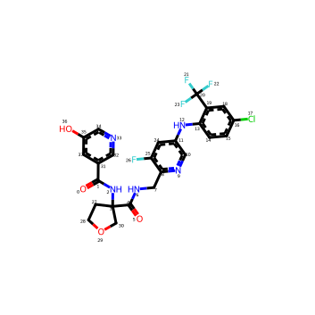 O=C(NC1(C(=O)NCc2ncc(Nc3ccc(Cl)cc3C(F)(F)F)cc2F)CCOC1)c1cncc(O)c1